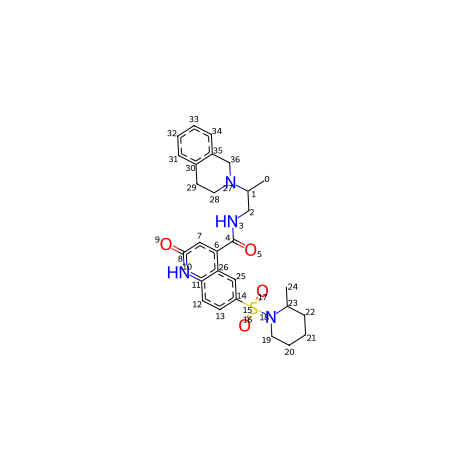 CC(CNC(=O)c1cc(=O)[nH]c2ccc(S(=O)(=O)N3CCCCC3C)cc12)N1CCc2ccccc2C1